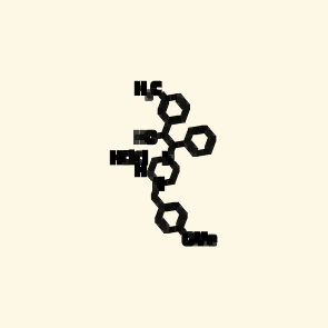 COc1ccc(CN2CCN(C(c3ccccc3)C(O)c3cccc(C)c3)CC2)cc1.Cl.Cl